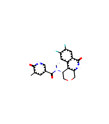 Cc1cc(C(=O)N(C)[C@@H]2COCc3[nH]c(=O)c4cc(F)c(F)cc4c32)c[nH]c1=O